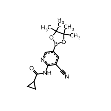 CC1(C)OB(c2cnc(NC(=O)C3CC3)c(C#N)c2)OC1(C)C